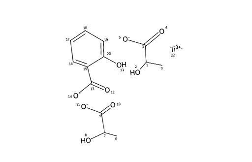 CC(O)C(=O)[O-].CC(O)C(=O)[O-].O=C([O-])c1ccccc1O.[Ti+3]